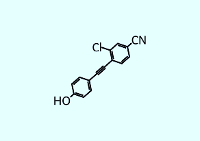 N#Cc1ccc(C#Cc2ccc(O)cc2)c(Cl)c1